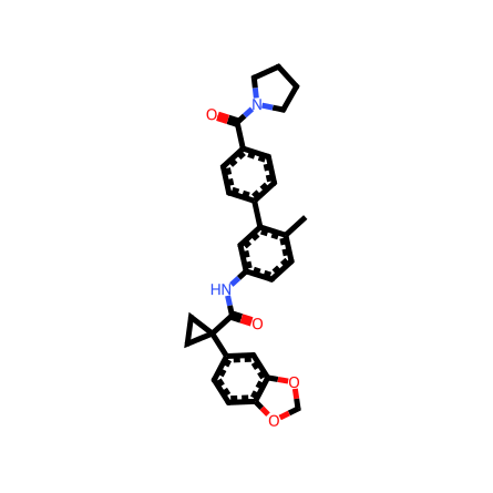 Cc1ccc(NC(=O)C2(c3ccc4c(c3)OCO4)CC2)cc1-c1ccc(C(=O)N2CCCC2)cc1